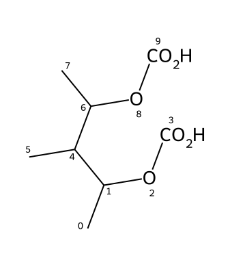 CC(OC(=O)O)C(C)C(C)OC(=O)O